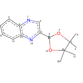 CC1(C)OB(c2cnc3ccccc3n2)OC1(C)C